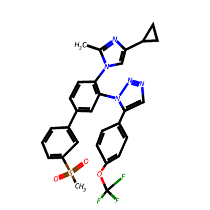 Cc1nc(C2CC2)cn1-c1ccc(-c2cccc(S(C)(=O)=O)c2)cc1-n1nncc1-c1ccc(OC(F)(F)F)cc1